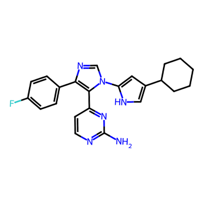 Nc1nccc(-c2c(-c3ccc(F)cc3)ncn2-c2cc(C3CCCCC3)c[nH]2)n1